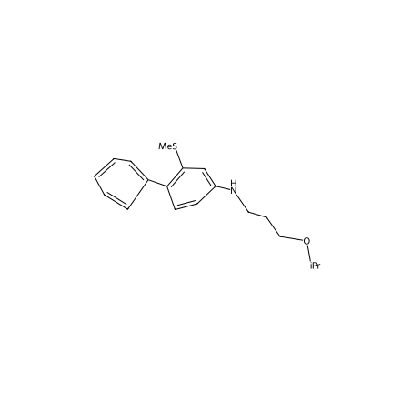 CSc1cc(NCCCOC(C)C)ccc1-c1cc[c]cc1